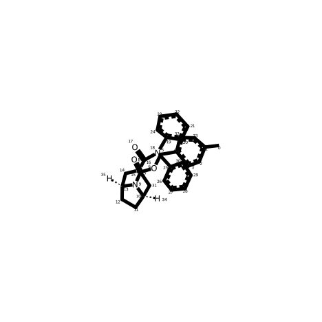 Cc1ccc(COC(=O)N2[C@@H]3CC[C@H]2CN(C(=O)N(c2ccccc2)c2ccccc2)C3)cc1